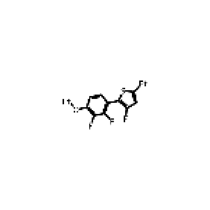 CCOc1ccc(-c2sc(CC)cc2F)c(F)c1F